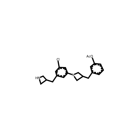 CC(=O)Oc1cccc(CC2CN(c3cc(Cl)cc(CC4CNC4)c3)C2)c1